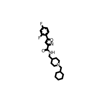 O=C(NCC1CCN(CC2CCCCC2)CC1)c1cc(-c2ccc(F)cc2F)on1